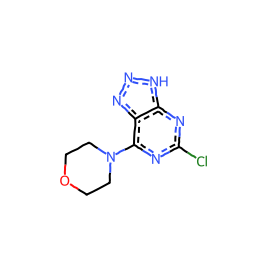 Clc1nc(N2CCOCC2)c2nn[nH]c2n1